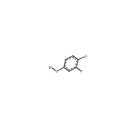 CCOc1[c]cc(Cl)c(F)c1